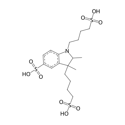 CC1N(CCCCS(=O)(=O)O)c2ccc(S(=O)(=O)O)cc2C1(C)CCCCS(=O)(=O)O